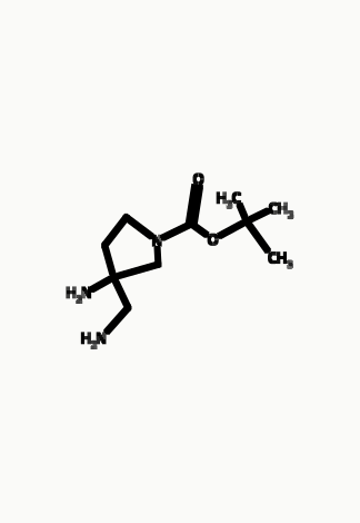 CC(C)(C)OC(=O)N1CCC(N)(CN)C1